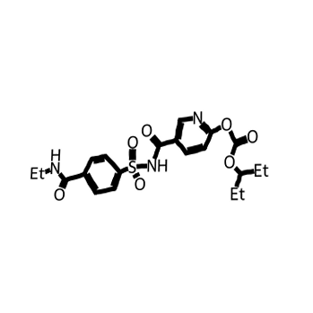 CCNC(=O)c1ccc(S(=O)(=O)NC(=O)c2ccc(OC(=O)OC(CC)CC)nc2)cc1